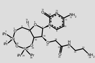 CC(C)[Si]1(C(C)C)OC[C@H]2O[C@@H](n3ccc(N)nc3=O)[C@@H](OCC(=O)NCCN)C2O[Si](C(C)C)(C(C)C)O1